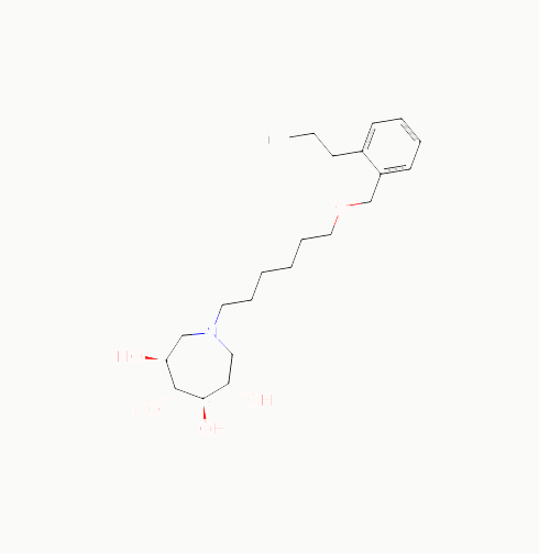 CC(C)CCc1ccccc1COCCCCCCN1C[C@H](O)[C@@H](O)[C@H](O)[C@@H](O)C1